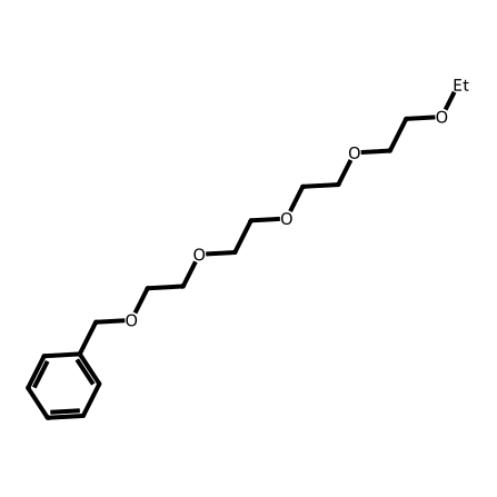 CCOCCOCCOCCOCCOCc1ccccc1